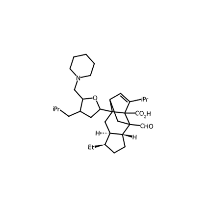 CC[C@@H]1CC[C@@H]2[C@@H]1CC1(C3CC(CC(C)C)C(CN4CCCCC4)O3)C3C=C(C(C)C)C1(C(=O)O)C2(C=O)C3